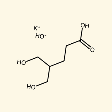 O=C(O)CCC(CO)CO.[K+].[OH-]